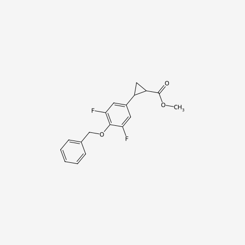 COC(=O)C1CC1c1cc(F)c(OCc2ccccc2)c(F)c1